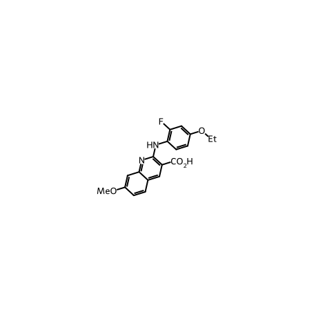 CCOc1ccc(Nc2nc3cc(OC)ccc3cc2C(=O)O)c(F)c1